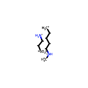 CCCCCNC.NCCS(=O)(=O)O